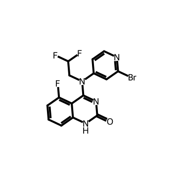 O=c1nc(N(CC(F)F)c2ccnc(Br)c2)c2c(F)cccc2[nH]1